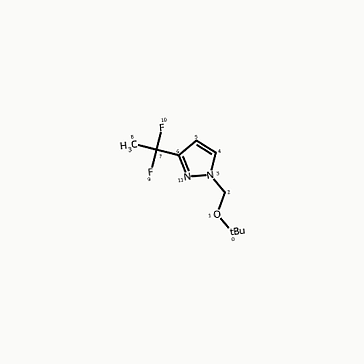 CC(C)(C)OCn1ccc(C(C)(F)F)n1